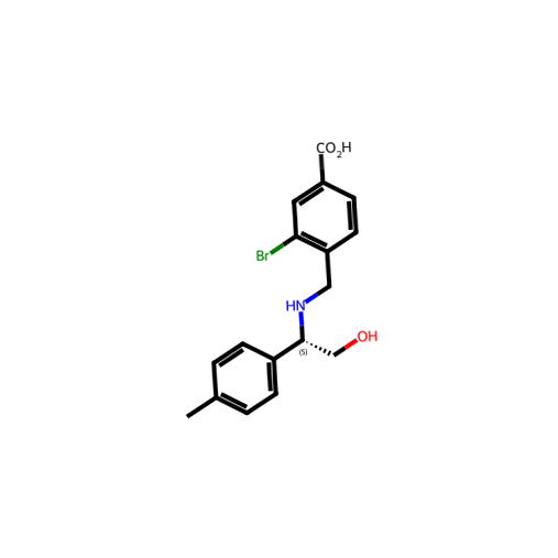 Cc1ccc([C@@H](CO)NCc2ccc(C(=O)O)cc2Br)cc1